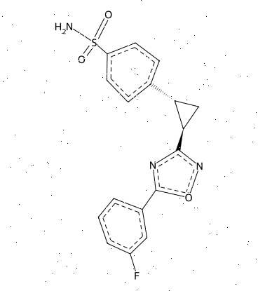 NS(=O)(=O)c1ccc([C@@H]2C[C@H]2c2noc(-c3cccc(F)c3)n2)cc1